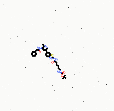 Cc1ncc(-c2ccc3nc(NC(=O)CCCCCNC(=O)OC(C)(C)C)sc3c2)cc1NC(=O)Cc1ccccc1